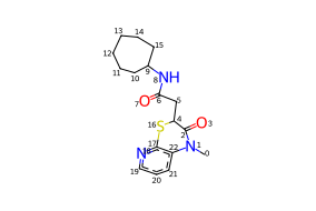 CN1C(=O)C(CC(=O)NC2CCCCCC2)Sc2ncccc21